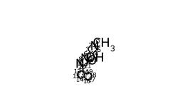 CN1CCC(O)(Cn2cnc(-c3cccc4ccccc34)cc2=O)CC1